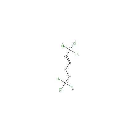 Cl[Si](Cl)(Cl)C=CCC[Si](Cl)(Cl)Cl